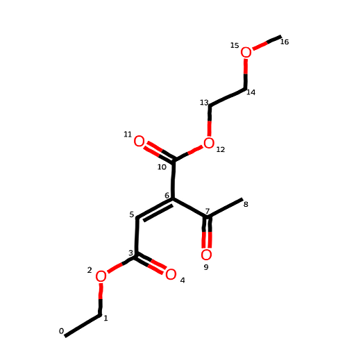 CCOC(=O)/C=C(\C(C)=O)C(=O)OCCOC